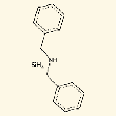 [SiH4].c1ccc(CNCc2ccccc2)cc1